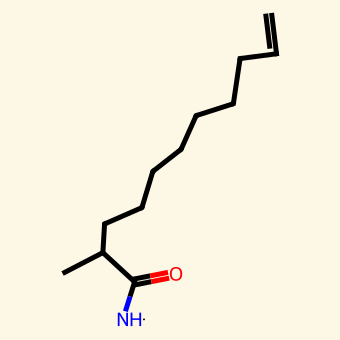 C=CCCCCCCCC(C)C([NH])=O